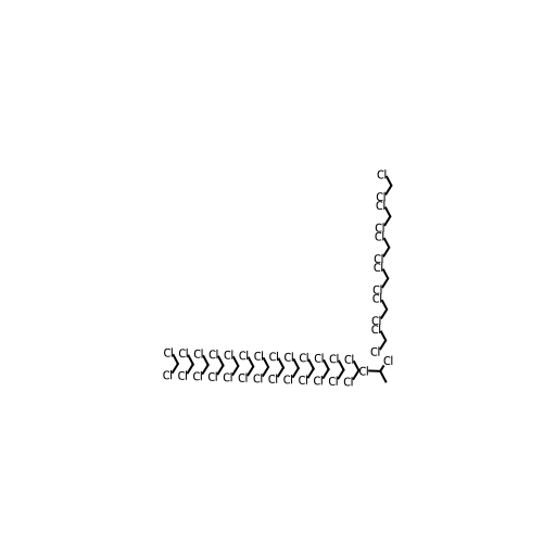 CC(Cl)Cl.ClCCl.ClCCl.ClCCl.ClCCl.ClCCl.ClCCl.ClCCl.ClCCl.ClCCl.ClCCl.ClCCl.ClCCl.ClCCl.ClCCl.ClCCl.ClCCl.ClCCl.ClCCl.ClCCl